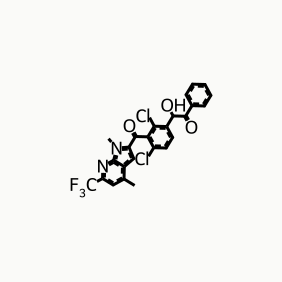 Cc1cc(C(F)(F)F)nc2c1cc(C(=O)c1c(Cl)ccc(C(O)C(=O)c3ccccc3)c1Cl)n2C